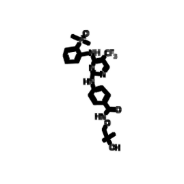 CC(C)(O)CONC(=O)c1ccc(Nc2ncc(C(F)(F)F)c(Nc3ccccc3P(C)(C)=O)n2)cc1